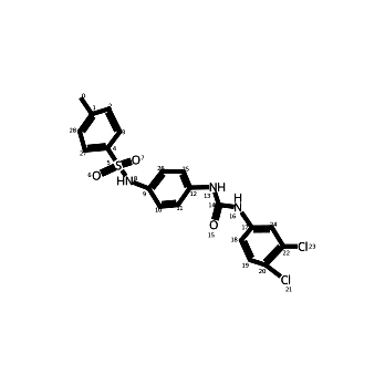 Cc1ccc(S(=O)(=O)Nc2ccc(NC(=O)Nc3ccc(Cl)c(Cl)c3)cc2)cc1